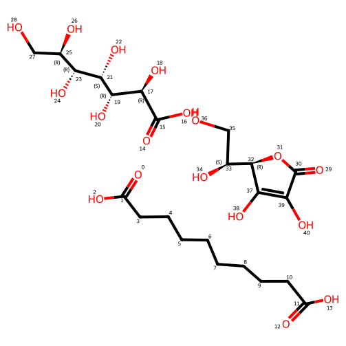 O=C(O)CCCCCCCCC(=O)O.O=C(O)[C@H](O)[C@H](O)[C@@H](O)[C@H](O)[C@H](O)CO.O=C1O[C@H]([C@@H](O)CO)C(O)=C1O